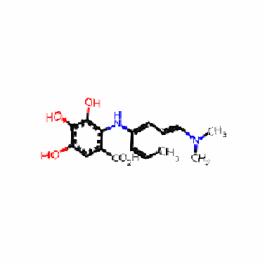 C\C=C/C(=C\C=C\N(C)C)Nc1c(C(=O)O)cc(O)c(O)c1O